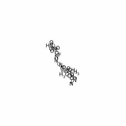 CC1(C)[C@H](NC(=O)c2ccc(N3CCC(CN4CCN(c5cc6c(cc5F)C(=O)N([C@H]5CCC(=O)NC5=O)C6=O)CC4)CC3)nc2)C(C)(C)[C@H]1Oc1ccc(C#N)c2ncccc12